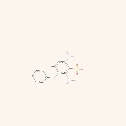 Cc1cc([N+](=O)[O-])c(S(=O)(=O)O)c([N+](=O)[O-])c1Cc1ccccc1